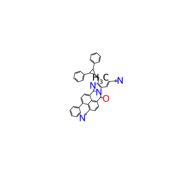 C/C(C#N)=C\c1c(C=C2C(c3ccccc3)C2c2ccccc2)nc2c3ccc(-c4ccccc4)c4c(C#N)ccc(c(=O)n12)c43